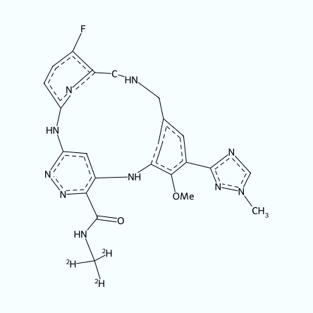 [2H]C([2H])([2H])NC(=O)c1nnc2cc1Nc1cc(cc(-c3ncn(C)n3)c1OC)CNCc1nc(ccc1F)N2